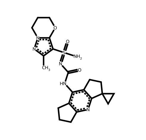 Cc1nn2c(c1S(N)(=O)=NC(=O)Nc1c3c(nc4c1CCC41CC1)CCC3)OCCC2